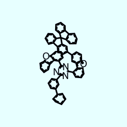 c1ccc(-c2cccc(-c3nc(-c4cccc5oc6ccccc6c45)nc(-c4cccc5oc6ccc(-c7ccc8c(c7)C7(c9ccccc9-c9ccccc97)c7ccccc7-8)cc6c45)n3)c2)cc1